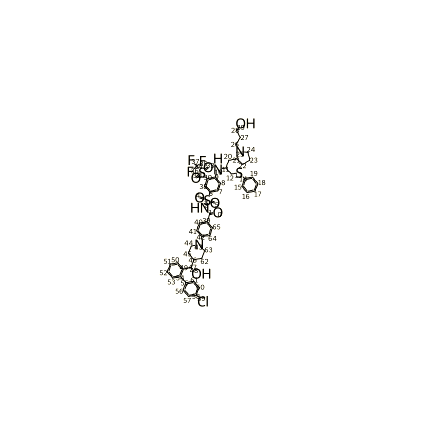 O=C(NS(=O)(=O)c1ccc(NC(CSc2ccccc2)CC2CCCN2CCCO)c(S(=O)(=O)C(F)(F)F)c1)c1ccc(N2CCC([C@@H](O)c3ccccc3-c3ccc(Cl)cc3)CC2)cc1